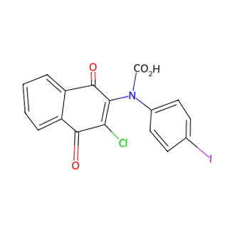 O=C1C(Cl)=C(N(C(=O)O)c2ccc(I)cc2)C(=O)c2ccccc21